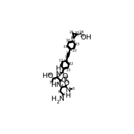 CNC(=O)C(CCN)NC(=O)C(NC(=O)c1ccc(C#Cc2ccc([C@@H]3C[C@H]3CO)cc2)cc1)C(C)O